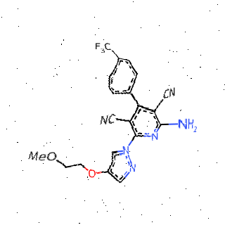 COCCOc1cnn(-c2nc(N)c(C#N)c(-c3ccc(C(F)(F)F)cc3)c2C#N)c1